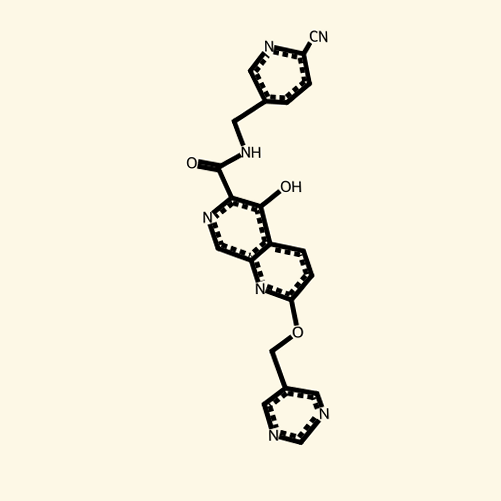 N#Cc1ccc(CNC(=O)c2ncc3nc(OCc4cncnc4)ccc3c2O)cn1